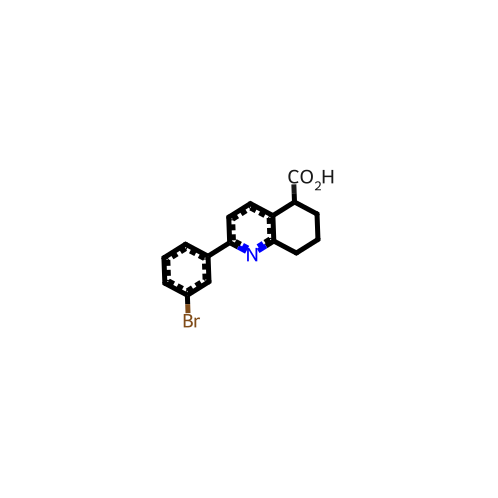 O=C(O)C1CCCc2nc(-c3cccc(Br)c3)ccc21